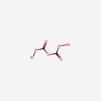 CCOC(=O)OC(=O)OO